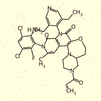 C=CC(=O)N1CCN2c3c(c(=O)n(-c4c(CC)cncc4CC)c4c(=O)n(-c5c(N)c(Cl)cc(Cl)c5F)c(C)cc34)OCCC2C1